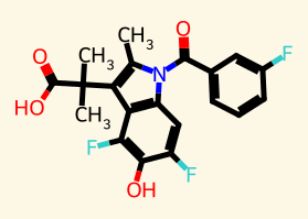 Cc1c(C(C)(C)C(=O)O)c2c(F)c(O)c(F)cc2n1C(=O)c1cccc(F)c1